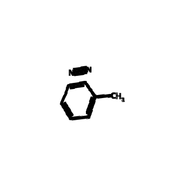 Cc1ccccc1.N#N